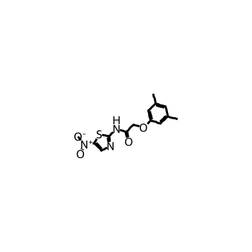 Cc1cc(C)cc(OCC(=O)Nc2ncc([N+](=O)[O-])s2)c1